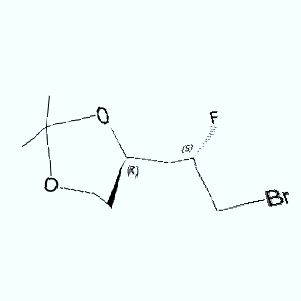 CC1(C)OC[C@H]([C@H](F)CBr)O1